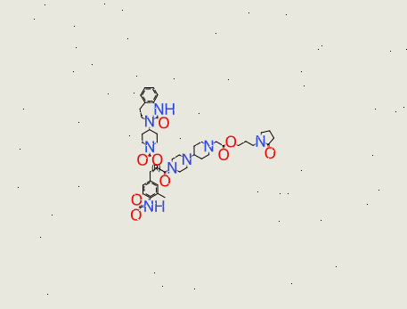 Cc1cc(C[C@@H](OC(=O)N2CCC(N3CCc4ccccc4NC3=O)CC2)C(=O)N2CCN(C3CCN(CC(=O)OCCCN4CCCC4=O)CC3)CC2)cc2oc(=O)[nH]c12